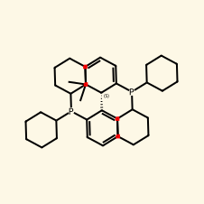 CC1(C)C=CC=C(P(C2CCCCC2)C2CCCCC2)[C@@H]1c1ccccc1P(C1CCCCC1)C1CCCCC1